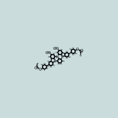 CC1OC1Oc1ccc(-c2ccc3c(c2)-c2cc(C(C)(C)C)cc4c2B3c2cccc3c2N4c2cc(C(C)(C)C)cc4c2B3c2ccc(-c3ccc(OC5OC5C)cc3)cc2-4)cc1